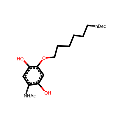 CCCCCCCCCCCCCCCCOc1cc(O)c(NC(C)=O)cc1O